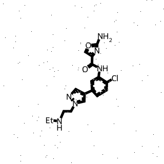 CCNCCn1cc(-c2ccc(Cl)c(NC(=O)c3coc(N)n3)c2)cn1